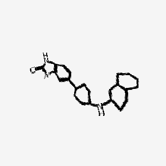 O=C1[N]c2cc(C3CCC(NC4CCC5CCCCC5C4)CC3)ccc2N1